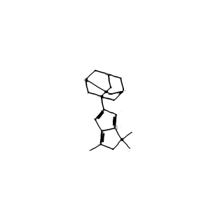 CC1=C2C=C(C34CC5CC(CC(C5)C3)C4)C=C2C(C)(C)C1